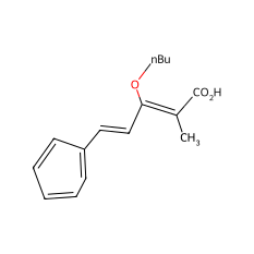 CCCCOC(C=Cc1ccccc1)=C(C)C(=O)O